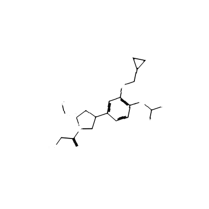 Cl.NCC(=O)N1CC(c2ccc(OC(F)F)c(OCC3CC3)c2)C[C@H]1CO